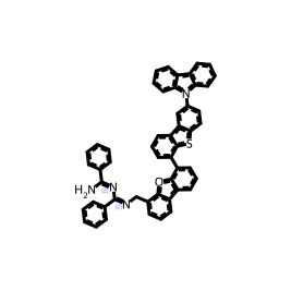 N/C(=N\C(=N/Cc1cccc2c1oc1c(-c3cccc4c3sc3ccc(-n5c6ccccc6c6ccccc65)cc34)cccc12)c1ccccc1)c1ccccc1